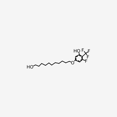 OCCCCCCCCCCCOc1cc(O)c(C(F)(F)F)c(F)c1